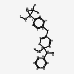 COC1(c2ccc(CC3=CCC(SC)(C(=O)c4ccccc4)C=C3)cc2)OC1(C)C